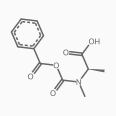 C[C@H](C(=O)O)N(C)C(=O)OC(=O)c1ccccc1